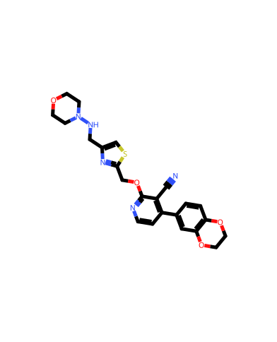 N#Cc1c(-c2ccc3c(c2)OCCO3)ccnc1OCc1nc(CNN2CCOCC2)cs1